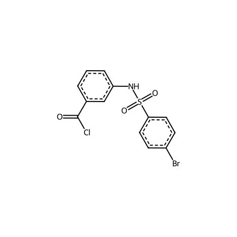 O=C(Cl)c1cccc(NS(=O)(=O)c2ccc(Br)cc2)c1